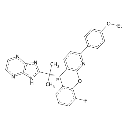 CCOc1ccc(-c2ccc3c(n2)Oc2c(F)cccc2[C@@H]3C(C)(C)c2nc3nccnc3[nH]2)cc1